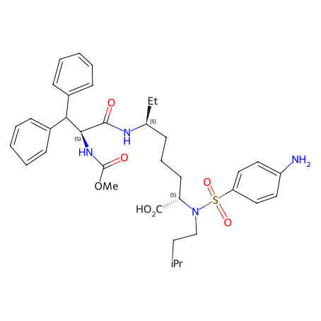 CC[C@@H](CCC[C@@H](C(=O)O)N(CCC(C)C)S(=O)(=O)c1ccc(N)cc1)NC(=O)[C@@H](NC(=O)OC)C(c1ccccc1)c1ccccc1